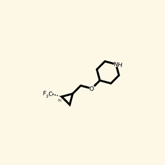 FC(F)(F)[C@H]1CC1COC1CCNCC1